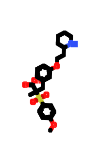 COc1ccc(S(=O)(=O)C(C)(Cc2cccc(OCCC3CCCCN3)c2)C(=O)O)cc1